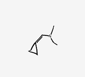 CN(C)C=C1CC1